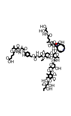 CCC(O)C(OC)C(O)C(O)Oc1c(I)c(C)c(C(=O)SC2C(O)CC(ONC3C(C)OC(O[C@H]4C#C/C=C\C#C[C@]5(O)CC(=O)C(NC(=O)OC)=C4/C5=C\CSSC(C)CCC(=O)NCC(O)CO)C(OC4CC(OC)C(N(CC)C(=O)CNC(=O)OCc5ccc(NC(=O)[C@H](C)NC(=O)[C@@H](NC(=O)CCCC(=O)O)C(C)C)cc5)CO4)C3O)OC2C)c(OC)c1OC